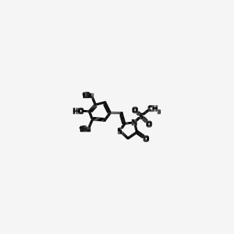 CC(C)(C)c1cc(C=C2SCC(=O)N2S(C)(=O)=O)cc(C(C)(C)C)c1O